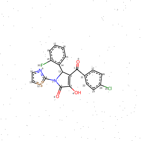 O=C(C1=C(O)C(=O)N(c2nccs2)C1c1ccccc1F)c1ccc(Cl)cc1